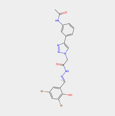 CC(=O)Nc1cccc(-c2cn(CC(=O)N/N=C/c3cc(Br)cc(Br)c3O)nn2)c1